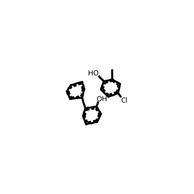 Cc1cc(Cl)ccc1O.Oc1ccccc1-c1ccccc1